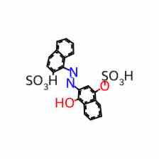 O=S(=O)(O)Oc1cc(N=Nc2c(S(=O)(=O)O)ccc3ccccc23)c(O)c2ccccc12